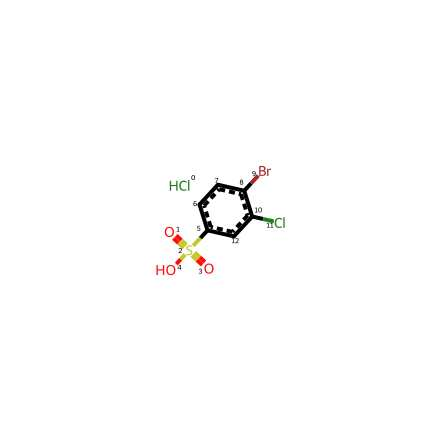 Cl.O=S(=O)(O)c1ccc(Br)c(Cl)c1